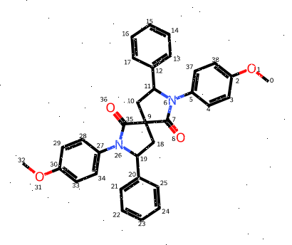 COc1ccc(N2C(=O)C3(CC2c2ccccc2)CC(c2ccccc2)N(c2ccc(OC)cc2)C3=O)cc1